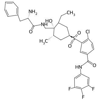 CCC1C[C@@H](S(=O)(=O)c2cc(C(=O)Nc3cc(F)c(F)c(F)c3)ccc2Cl)C[C@H](C)[C@@]1(O)CNC(=O)[C@@H](N)Cc1ccccc1